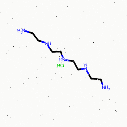 Cl.NCCNCCNCCNCCN